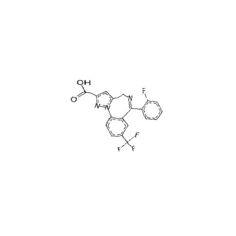 O=C(O)c1cc2n(n1)-c1ccc(C(F)(F)F)cc1C(c1ccccc1F)=NC2